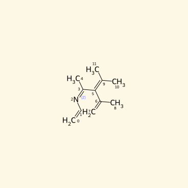 C=C/N=C(/C)C(C(=C)C)=C(C)C